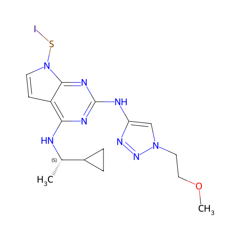 COCCn1cc(Nc2nc(N[C@@H](C)C3CC3)c3ccn(SI)c3n2)nn1